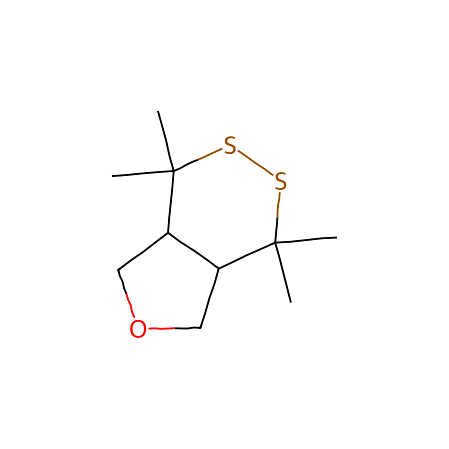 CC1(C)SSC(C)(C)C2COCC21